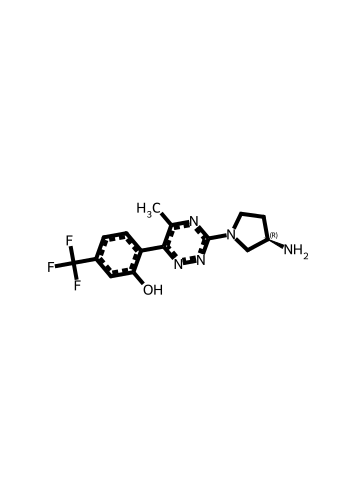 Cc1nc(N2CC[C@@H](N)C2)nnc1-c1ccc(C(F)(F)F)cc1O